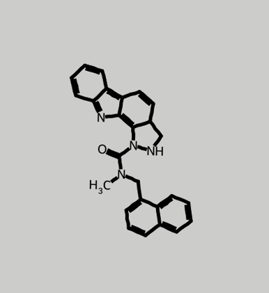 CN(Cc1cccc2ccccc12)C(=O)N1NCC2C=CC3=c4ccccc4=NC3=C21